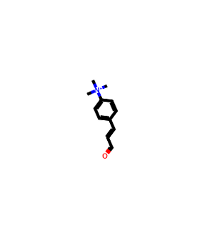 C[N+](C)(C)c1ccc(/C=C/C=O)cc1